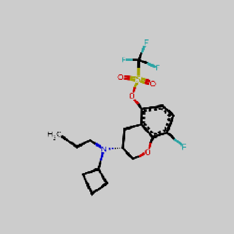 CCCN(C1CCC1)[C@H]1COc2c(F)ccc(OS(=O)(=O)C(F)(F)F)c2C1